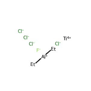 C[CH2][Al+][CH2]C.[Cl-].[Cl-].[Cl-].[Cl-].[F-].[Ti+4]